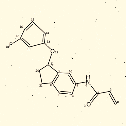 C=CC(=O)Nc1ccc2c(c1)C(Oc1cccc(F)c1)CC2